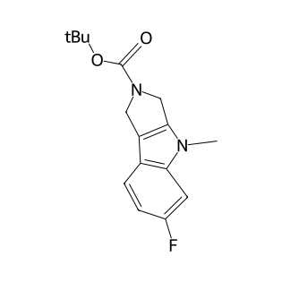 Cn1c2c(c3ccc(F)cc31)CN(C(=O)OC(C)(C)C)C2